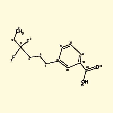 CCC(F)(F)CCCc1cccc(C(=O)O)c1